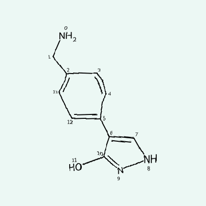 NCc1ccc(-c2c[nH]nc2O)cc1